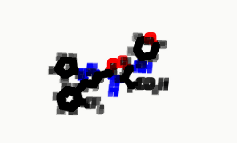 O=C(O)C[C@@H](NC(=O)c1cc(-c2ccccc2C(F)(F)F)n(C2CCCC2)n1)C(=O)NC1CCOCC1